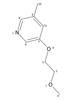 COCCOc1cncc(C)c1